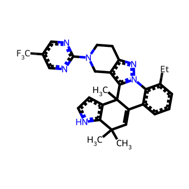 CCc1cccc2c1-n1nc3c(c1C1(C)C2=CC(C)(C)c2[nH]ccc21)CN(c1ncc(C(F)(F)F)cn1)CC3